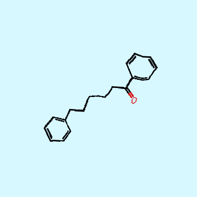 O=C(CCCCCc1ccccc1)c1ccccc1